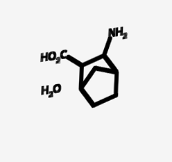 NC1C2CCC(C2)C1C(=O)O.O